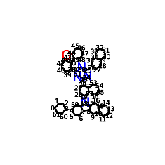 c1ccc(-c2ccc3c4cc5ccccc5cc4n(-c4ccc(-c5nc(-c6ccc7ccccc7c6)nc(-c6cccc7oc8ccccc8c67)n5)c5ccccc45)c3c2)cc1